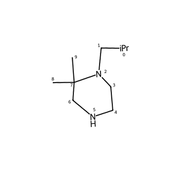 CC(C)CN1CCNCC1(C)C